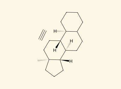 C#C.C[C@@]12CCC[C@H]1[C@@H]1CCC3CCCC[C@@H]3[C@H]1CC2